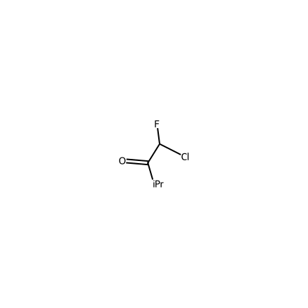 CC(C)C(=O)C(F)Cl